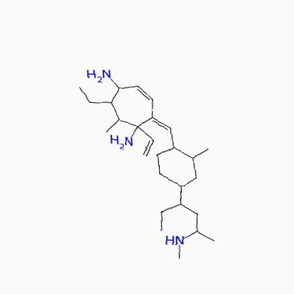 C=CC1(N)/C(=C\C2CCC(C(CC)CC(C)NC)CC2C)C=CC(N)C(CC)C1C